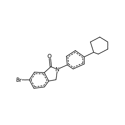 O=C1c2cc(Br)ccc2CN1c1ccc(C2CCCCC2)cc1